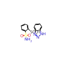 NS(=O)(=O)c1ccccc1S(=O)(=O)O.c1ccc2[nH]nnc2c1